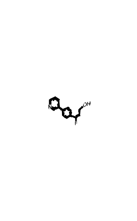 OC/C=C(/F)c1ccc(-c2cccnc2)cc1